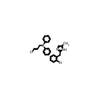 CCc1ccccc1Cc1ncc(C)[nH]1.ClC=CCB(c1ccccc1)c1ccccc1